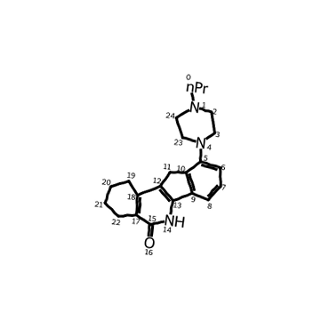 CCCN1CCN(c2cccc3c2Cc2c-3[nH]c(=O)c3c2CCCC3)CC1